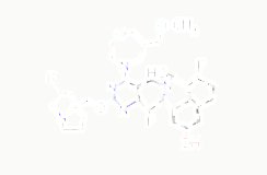 C#Cc1c(F)ccc2cc(O)cc(-c3ncc4c(N5CCOCC(COC)C5)nc(OC[C@@]56CCCN5C[C@H](F)C6)nc4c3F)c12